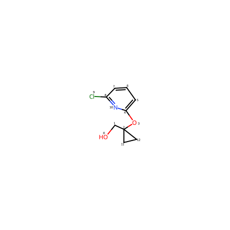 OCC1(Oc2cccc(Cl)n2)CC1